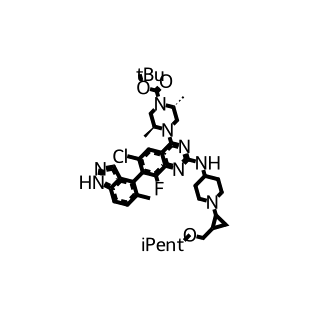 CCCC(C)OCC1CC1N1CCC(Nc2nc(N3C[C@@H](C)N(C(=O)OC(C)(C)C)C[C@@H]3C)c3cc(Cl)c(-c4c(C)ccc5[nH]ncc45)c(F)c3n2)CC1